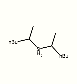 CCCCC(C)[SiH2]C(C)CCCC